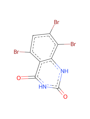 O=c1[nH]c(=O)c2c(Br)cc(Br)c(Br)c2[nH]1